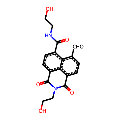 O=Cc1ccc2c3c(ccc(C(=O)NCCO)c13)C(=O)N(CCO)C2=O